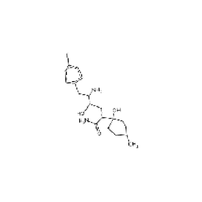 CC1CCC(O)(C(CC(O)C(N)Cc2ccc(F)cc2)C(N)=O)CC1